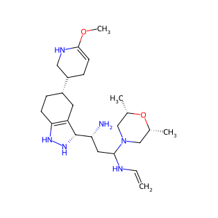 C=CNC(C[C@@H](N)[C@@H]1NNC2=C1C[C@@H](C1CC=C(OC)NC1)CC2)N1C[C@@H](C)O[C@@H](C)C1